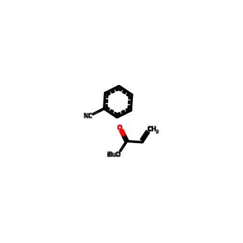 C=CC(=O)OCC(C)C.N#Cc1ccccc1